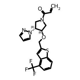 C=CC(=O)N1C[C@@H](n2cccn2)[C@H](OCc2cc3c(C(F)(F)F)cccc3s2)C1